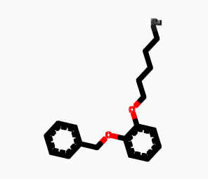 CCC(C)CCCCCOc1ccccc1OCc1ccccc1